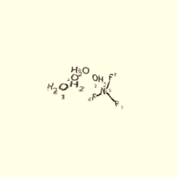 O.O.O.O.[F][Ni]([F])[F]